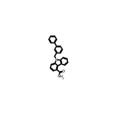 NC(=O)c1cccc2c1c1[c]cccc1n2Cc1cccc(-c2ccccc2)c1